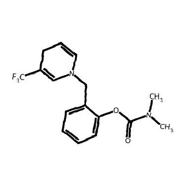 CN(C)C(=O)Oc1ccccc1CN1C=CCC(C(F)(F)F)=C1